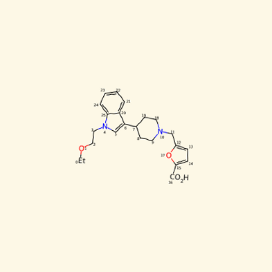 CCOCCn1cc(C2CCN(Cc3ccc(C(=O)O)o3)CC2)c2ccccc21